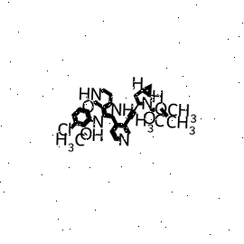 COc1c(Cl)cccc1Nc1c(-c2ccncc2C#C[C@H]2C[C@H]3C[C@H]3N2C(=O)OC(C)(C)C)[nH]c2c1C(=O)NCC2